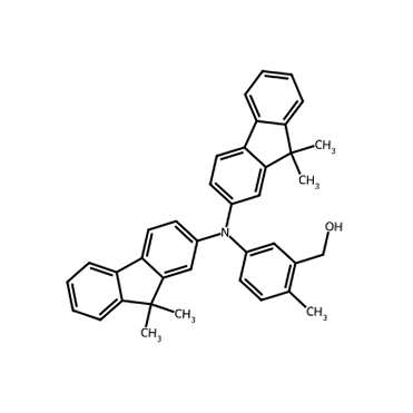 Cc1ccc(N(c2ccc3c(c2)C(C)(C)c2ccccc2-3)c2ccc3c(c2)C(C)(C)c2ccccc2-3)cc1CO